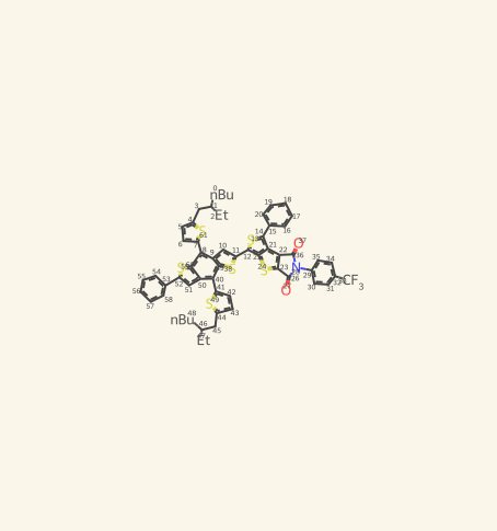 CCCCC(CC)Cc1ccc(-c2c3cc(-c4sc(-c5ccccc5)c5c6c(sc45)C(=O)N(c4ccc(C(F)(F)F)cc4)C6=O)sc3c(-c3ccc(CC(CC)CCCC)s3)c3cc(-c4ccccc4)sc23)s1